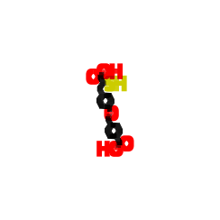 O=C(O)c1ccc(COc2ccc(CC(S)C(=O)O)cc2)cc1